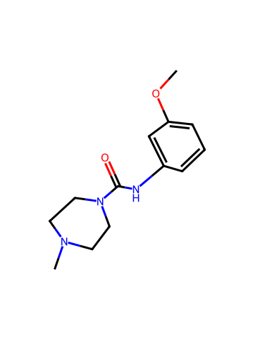 COc1cccc(NC(=O)N2CCN(C)CC2)c1